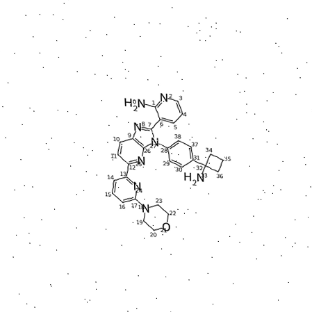 Nc1ncccc1-c1nc2ccc(-c3cccc(N4CCOCC4)n3)nc2n1-c1ccc(C2(N)CCC2)cc1